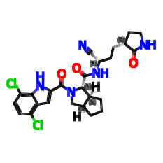 N#C[C@H](CC[C@@H]1CCNC1=O)NC(=O)[C@@H]1[C@H]2CCC[C@H]2CN1C(=O)c1cc2c(Cl)ccc(Cl)c2[nH]1